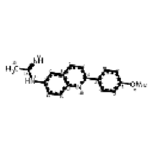 COc1ccc(-c2ccc3cc(NC(C)=N)ccc3n2)cc1